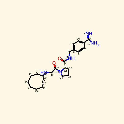 N=C(N)c1ccc(CNC(=O)[C@@H]2CCCN2C(=O)CNC2CCCCCCC2)cc1